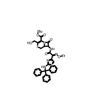 CCON=C(C(=O)NC1C(=O)N2C(C(=O)OC(C)(C)C)=C(CO)SCC12)c1csc(NC(c2ccccc2)(c2ccccc2)c2ccccc2)n1